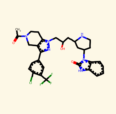 CC(=O)N1CCc2c(c(-c3ccc(Cl)c(C(F)(F)F)c3)nn2CC(O)CC2CC(n3c(=O)[nH]c4ccccc43)CCN2)C1